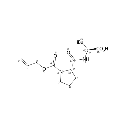 C=CCOC(=O)N1CCC[C@H]1C(=O)N[C@H](C(=O)O)C(C)CC